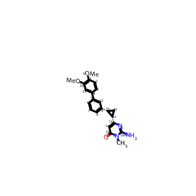 COc1ccc(-c2cccc([C@@H]3C[C@@H]3c3cc(=O)n(C)c(N)n3)c2)cc1OC